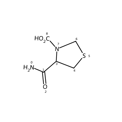 NC(=O)C1CSCN1C(=O)O